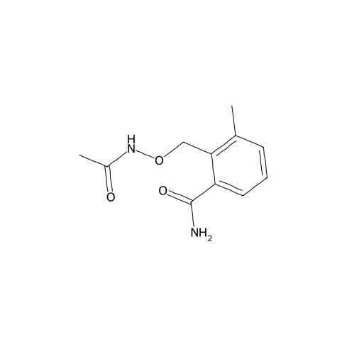 CC(=O)NOCc1c(C)cccc1C(N)=O